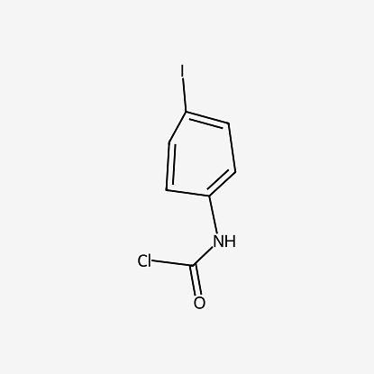 O=C(Cl)Nc1ccc(I)cc1